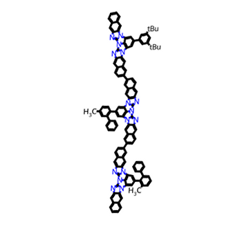 Cc1ccc(-c2cc3c4c(c2)n2c5cc6cc(-c7ccc8cc9nc%10n(c9cc8c7)c7cc(-c8c(C)cccc8-c8ccccc8)cc8c7n%10c7nc9cc%10ccccc%10cc9n87)ccc6cc5nc2n4c2nc4cc5ccc(-c6ccc7cc8nc9n(c8cc7c6)c6cc(-c7cc(C(C)(C)C)cc(C(C)(C)C)c7)cc7c6n9c6nc8cc9ccccc9cc8n76)cc5cc4n32)c(-c2ccccc2)c1